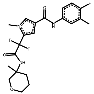 Cc1cc(NC(=O)c2cc(C(F)(F)C(=O)NC3(C)CCCOC3)n(C)c2)ccc1F